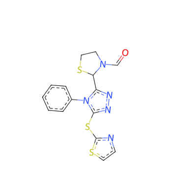 O=CN1CCSC1c1nnc(Sc2nccs2)n1-c1ccccc1